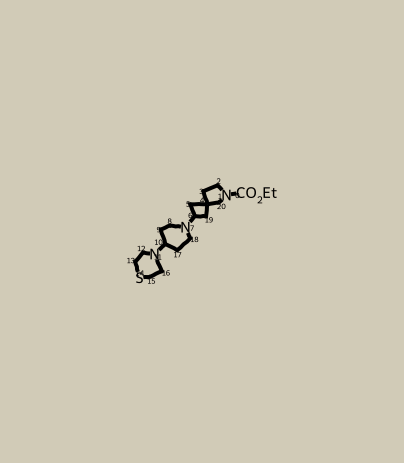 CCOC(=O)N1CCC2(CC(N3CCC(N4CCSCC4)CC3)C2)C1